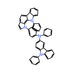 c1ccc(N(c2ccc(-n3ccc4ccc5c6ccccc6n(-c6ccccc6)c5c43)cc2)c2ccc3c(c2)c2ccccc2n3-c2ccccc2)cc1